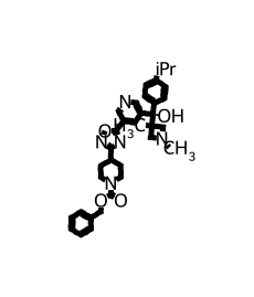 CC(C)c1ccc([C@](O)(c2cncc(-c3nc(C4CCN(C(=O)OCc5ccccc5)CC4)no3)c2)C2(C)CN(C)C2)cc1